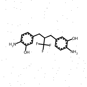 Nc1ccc(CC(Cc2ccc(N)c(O)c2)C(F)(F)F)cc1O